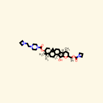 CC(C)[C@@H](OC(=O)N1CCC1)C1C[C@@H](C)[C@H]2C(O1)[C@H](O)[C@@]1(C)C3CC[C@H]4C(C)(C)[C@@H](OC(=O)N5CCN(CCN6CCC6)CC5)CC[C@@]45CC35CC[C@]21C